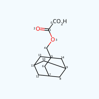 O=C(O)C(=O)OCC12CC3CC(CC(C3)C1)C2